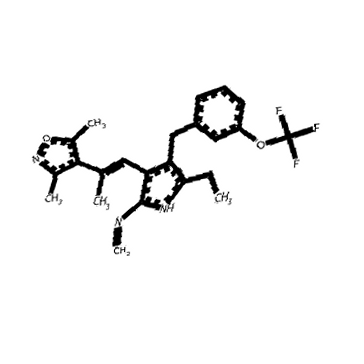 C=Nc1[nH]c(CC)c(Cc2cccc(OC(F)(F)F)c2)c1/C=C(\C)c1c(C)noc1C